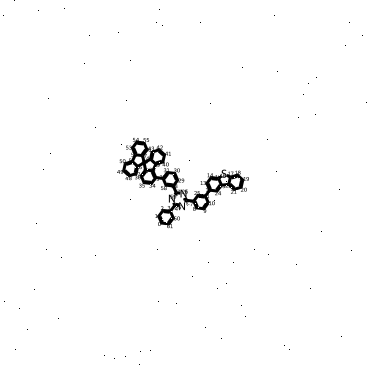 c1ccc(-c2nc(-c3cccc(-c4ccc5sc6ccccc6c5c4)c3)nc(-c3cccc(-c4cccc5c4-c4ccccc4C54c5ccccc5-c5ccccc54)c3)n2)cc1